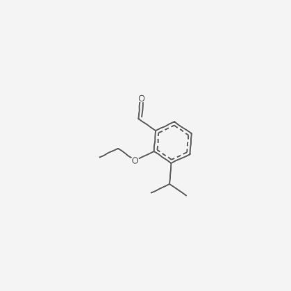 CCOc1c(C=O)cccc1C(C)C